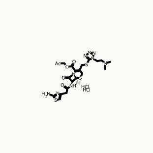 CC(=O)COC(=O)C1=C(CSc2nnnn2CCN(C)C)CS[C@H]2[C@@H](NC(=O)Cc3csc(N)n3)C(=O)N12.Cl.Cl